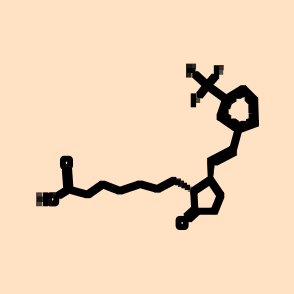 O=C(O)CCCCCC[C@H]1C(=O)CC[C@@H]1C=Cc1cccc(C(F)(F)F)c1